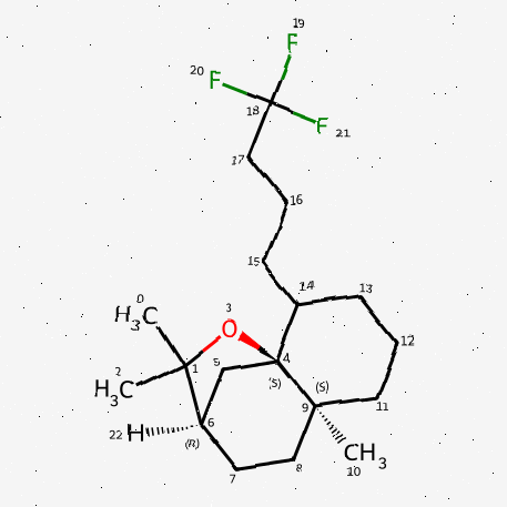 CC1(C)O[C@]23C[C@H]1CC[C@]2(C)CCCC3CCCC(F)(F)F